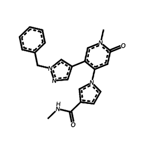 CNC(=O)c1ccn(-c2cc(=O)n(C)cc2-c2cnn(Cc3ccccc3)c2)c1